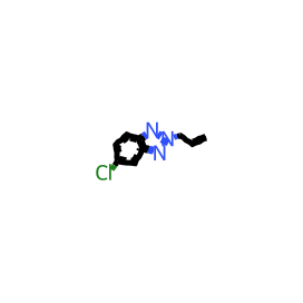 C=CCn1nc2ccc(Cl)cc2n1